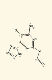 C=CCc1cc[n+]([O-])c(N)n1.c1cc[nH]c1